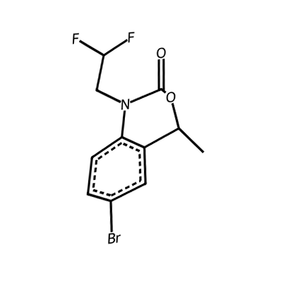 CC1OC(=O)N(CC(F)F)c2ccc(Br)cc21